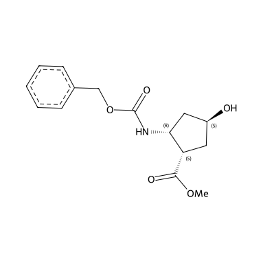 COC(=O)[C@H]1C[C@H](O)C[C@H]1NC(=O)OCc1ccccc1